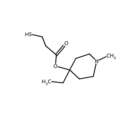 CCC1(OC(=O)CCS)CCN(C)CC1